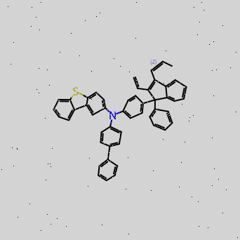 C=CC1=C(/C=C\C)c2ccccc2C1(c1ccccc1)c1ccc(N(c2ccc(-c3ccccc3)cc2)c2ccc3sc4ccccc4c3c2)cc1